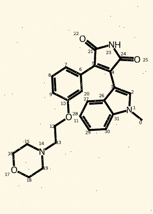 Cn1cc(C2=C(c3cccc(OCCN4CCOCC4)c3)C(=O)NC2=O)c2ccccc21